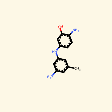 Cc1cc(N)cc(Nc2ccc(N)c(O)c2)c1